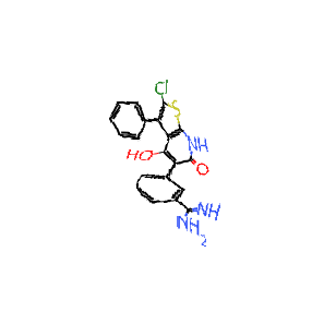 N=C(N)c1cccc(-c2c(O)c3c(-c4ccccc4)c(Cl)sc3[nH]c2=O)c1